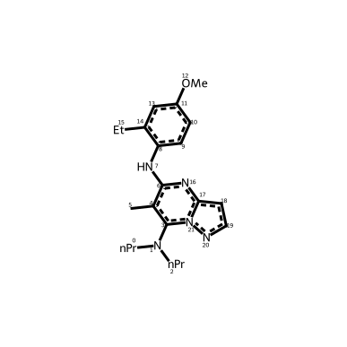 CCCN(CCC)c1c(C)c(Nc2ccc(OC)cc2CC)nc2ccnn12